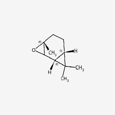 CC1(C)[C@@H]2C3O[C@]3(C)CC[C@@H]21